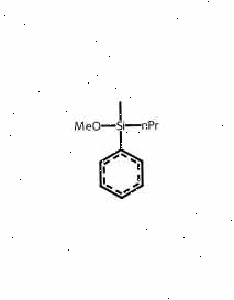 CCC[Si](C)(OC)c1ccccc1